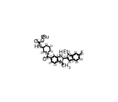 CCn1c(C2Nc3cc(C(=O)N4CCCC(NC(=O)OC(C)(C)C)C4)ccc3N2C)cc2ccc(F)cc21